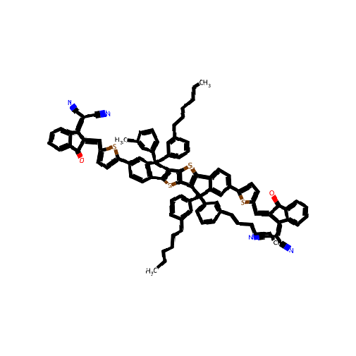 CCCCCCc1cccc(C2(c3cccc(C)c3)c3cc(-c4ccc(/C=C5\C(=O)c6ccccc6C5=C(C#N)C#N)s4)ccc3-c3sc4c5c(sc4c32)-c2ccc(-c3ccc(/C=C4\C(=O)c6ccccc6C4=C(C#N)C#N)s3)cc2C5(c2cccc(CCCCCC)c2)c2cccc(CCCCCC)c2)c1